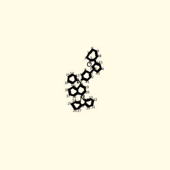 C1=CCc2oc3c(-c4ccc(N(c5ccccc5)c5ccc(-n6c7ccccc7c7ccccc76)c6ccccc56)cc4)cccc3c2C=C1